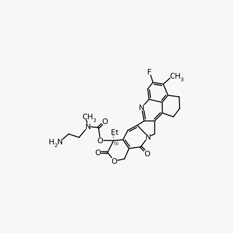 CC[C@@]1(OC(=O)N(C)CCN)C(=O)OCc2c1cc1n(c2=O)Cc2c-1nc1cc(F)c(C)c3c1c2CCC3